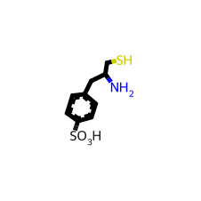 NC(CS)Cc1ccc(S(=O)(=O)O)cc1